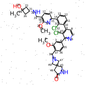 COc1cc(-c2nccc(-c3cccc(-c4ccc(CN[C@H]5C[C@](C)(O)C5)c(OC)n4)c3Cl)c2Cl)ccc1CN1CC2(CNC(=O)C2)C1